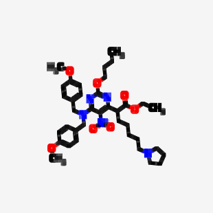 CCCCOc1nc(C(CCCCCN2CCCC2)C(=O)OCC)c([N+](=O)[O-])c(N(Cc2ccc(OC)cc2)Cc2ccc(OC)cc2)n1